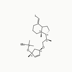 C[C@@H](CO[C@H]1C=C[C@](C)(O[Si](C)(C)C(C)(C)C)C1)[C@H]1CCC2C(=CI)CCC[C@]21C